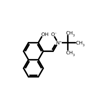 CC(C)(C)[N+]([O-])=Cc1c(O)ccc2ccccc12